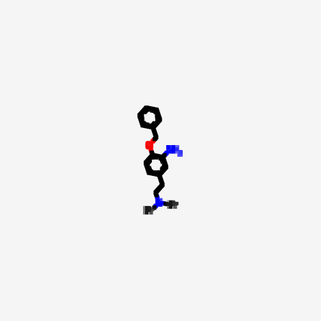 CC(C)N(CCc1ccc(OCc2ccccc2)c(N)c1)C(C)C